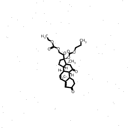 CCCOC(=O)O[C@]1(C(=O)COC(=O)OCC)CC[C@H]2[C@@H]3CCC4=CC(=O)CC[C@]4(C)[C@H]3C(=O)C[C@@]21C